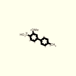 COc1cc(-c2ccc(C)cc2)ccc1C(=O)O